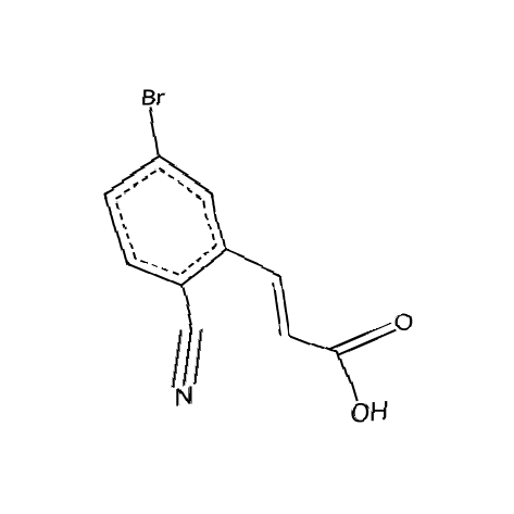 N#Cc1ccc(Br)cc1/C=C/C(=O)O